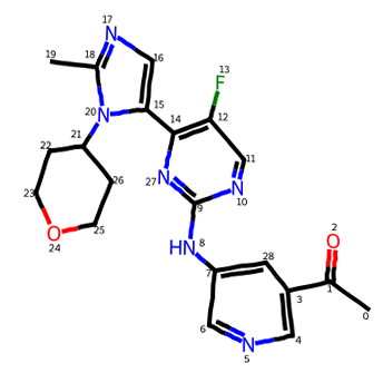 CC(=O)c1cncc(Nc2ncc(F)c(-c3cnc(C)n3C3CCOCC3)n2)c1